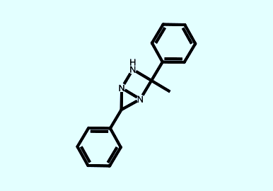 CC1(c2ccccc2)NN2C(c3ccccc3)N21